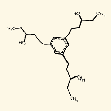 CCC(O)CCc1cc(CCC(O)CC)cc(CCC(O)CC)c1